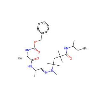 CC[C@H](C)[C@H](NC(=O)OCc1ccccc1)C(=O)N[C@@H](C)/C=N/N(C)C(C)(C)CC(C)(C)C(=O)NC(C)CC(C)C